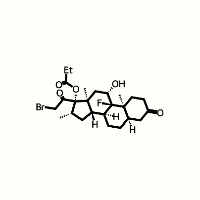 CCC(=O)O[C@@]1(C(=O)CBr)[C@@H](C)C[C@H]2[C@@H]3CC[C@@H]4CC(=O)CC[C@]4(C)[C@@]3(F)[C@@H](O)C[C@@]21C